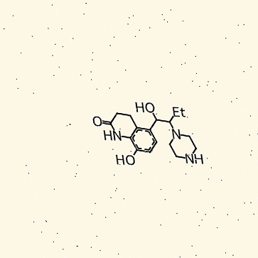 CCC(C(O)c1ccc(O)c2c1CCC(=O)N2)N1CCNCC1